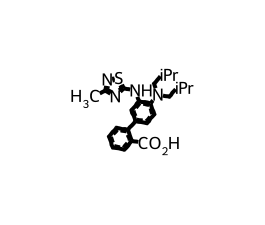 Cc1nsc(Nc2cc(-c3ccccc3C(=O)O)ccc2N(CC(C)C)CC(C)C)n1